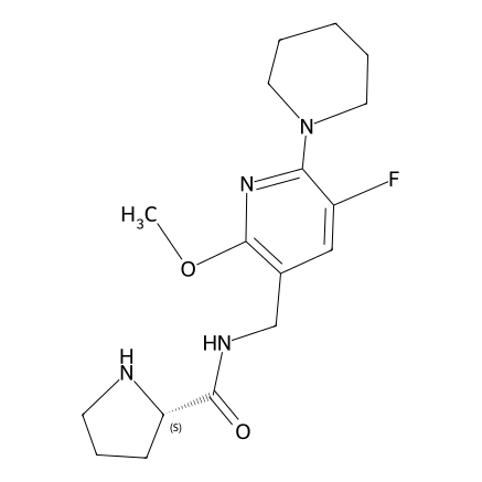 COc1nc(N2CCCCC2)c(F)cc1CNC(=O)[C@@H]1CCCN1